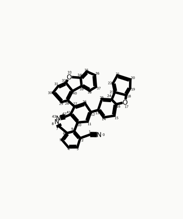 N#Cc1cccc(C#N)c1-c1cc(-c2ccc3oc4ccccc4c3c2)cc(-c2cccc3oc4ccccc4c23)c1C#N